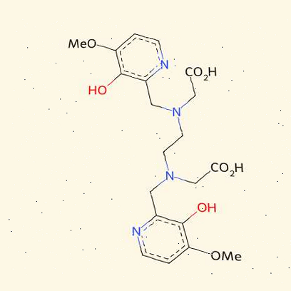 COc1ccnc(CN(CCN(CC(=O)O)Cc2nccc(OC)c2O)CC(=O)O)c1O